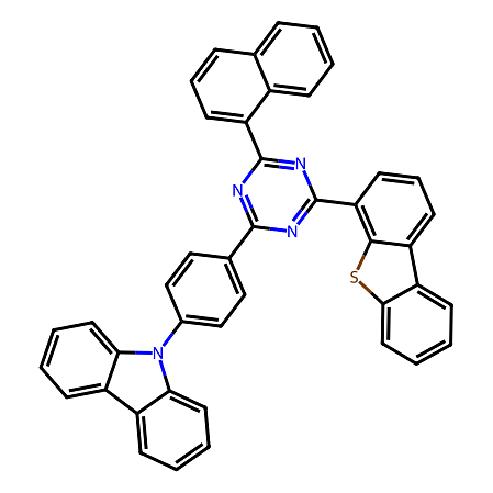 c1ccc2c(-c3nc(-c4ccc(-n5c6ccccc6c6ccccc65)cc4)nc(-c4cccc5c4sc4ccccc45)n3)cccc2c1